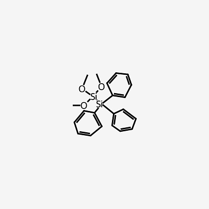 CO[Si](OC)(OC)[Si](c1ccccc1)(c1ccccc1)c1ccccc1